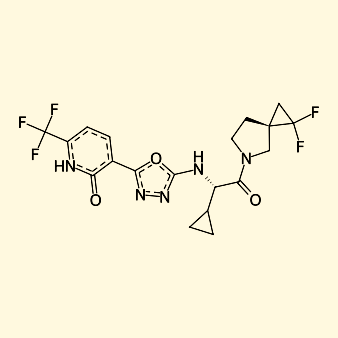 O=C([C@@H](Nc1nnc(-c2ccc(C(F)(F)F)[nH]c2=O)o1)C1CC1)N1CC[C@@]2(C1)CC2(F)F